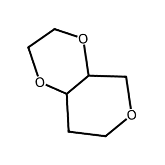 C1CC2OCCOC2CO1